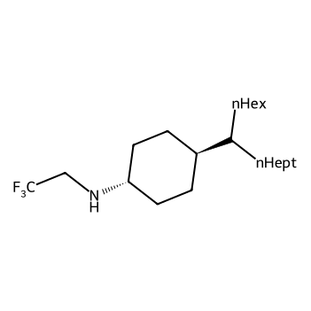 CCCCCCCC(CCCCCC)[C@H]1CC[C@H](NCC(F)(F)F)CC1